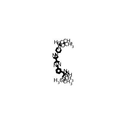 CC(C)(C)OC(=O)N1CCC(n2cc(-c3cnc(-c4cccc(-c5nn[nH]c5C[Si](C)(C)C)c4)nc3)cn2)CC1